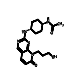 CC(=O)N[C@H]1CC[C@H](Nc2ncc3ccc(=O)n(CCCO)c3n2)CC1